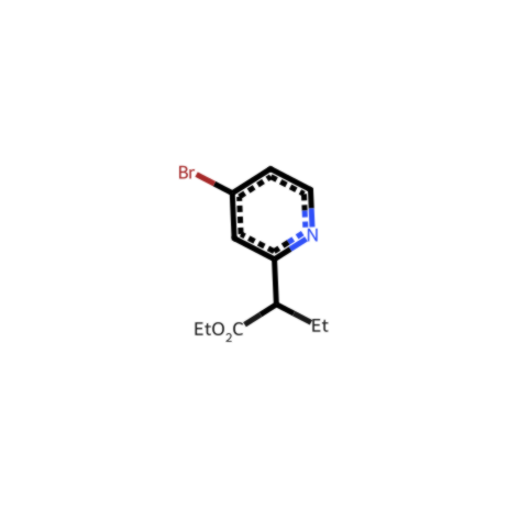 CCOC(=O)C(CC)c1cc(Br)ccn1